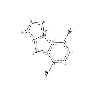 Brc1ccc(Br)c2c1sc1nccn12